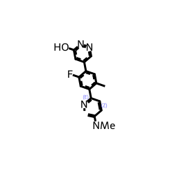 C=C(/C=C\C(=N/C)c1cc(F)c(-c2cnnc(O)c2)cc1C)NC